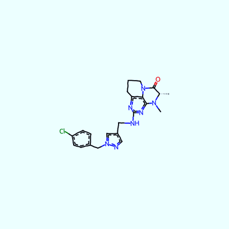 C[C@H]1C(=O)N2CCCc3nc(NCc4cnn(Cc5ccc(Cl)cc5)c4)nc(c32)N1C